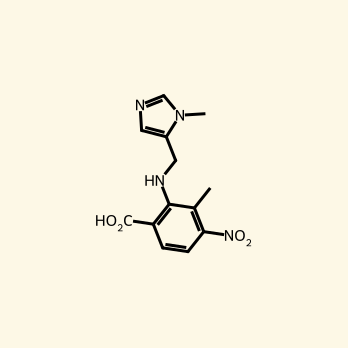 Cc1c([N+](=O)[O-])ccc(C(=O)O)c1NCc1cncn1C